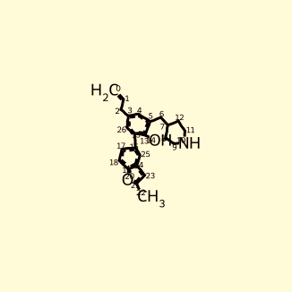 C=CCc1cc(CC2CCNCC2)c(O)c(-c2ccc3oc(C)cc3c2)c1